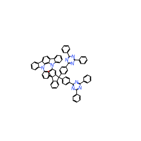 c1ccc(-c2nc(-c3ccccc3)nc(-c3ccc(C4(c5ccc(-c6nc(-c7ccccc7)nc(-c7ccccc7)n6)cc5)c5ccccc5-c5ccc(-n6c7ccccc7c7ccc8c9ccccc9n(-c9ccccc9)c8c76)cc54)cc3)n2)cc1